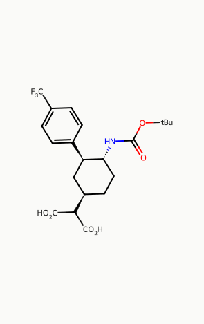 CC(C)(C)OC(=O)N[C@@H]1CC[C@@H](C(C(=O)O)C(=O)O)C[C@H]1c1ccc(C(F)(F)F)cc1